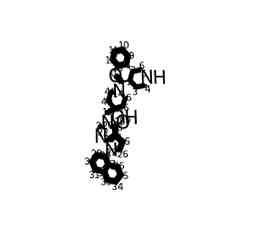 O=C([C@@H]1CCNC[C@H]1c1ccccc1)N1CCC(O)(Cn2cnc3c(ccn3-c3cccc4ccccc34)c2=O)CC1